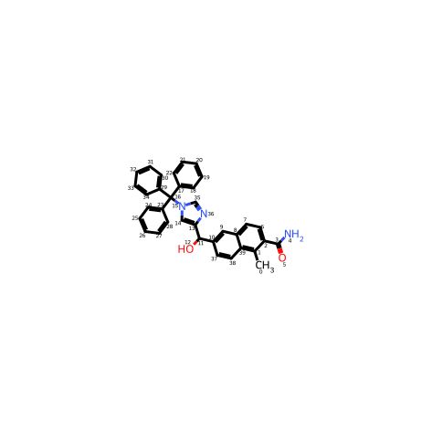 Cc1c(C(N)=O)ccc2cc(C(O)c3cn(C(c4ccccc4)(c4ccccc4)c4ccccc4)cn3)ccc12